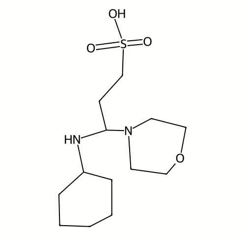 O=S(=O)(O)CCC(NC1CCCCC1)N1CCOCC1